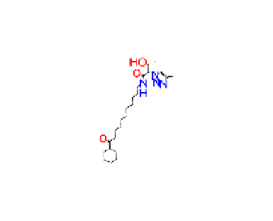 Cc1cn([C@H](C(=O)NCCCCCCCCCCC(=O)C2CCCCC2)[C@@H](C)O)nn1